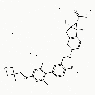 Cc1cc(OCC2(C)COC2)cc(C)c1-c1ccc(F)c(COC2C=CC3=C(C2)C[C@H]2[C@H](C(=O)O)[C@@H]32)c1